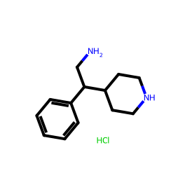 Cl.NCC(c1ccccc1)C1CCNCC1